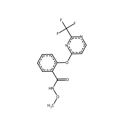 CONC(=O)c1ccccc1Oc1ccnc(C(F)(F)F)n1